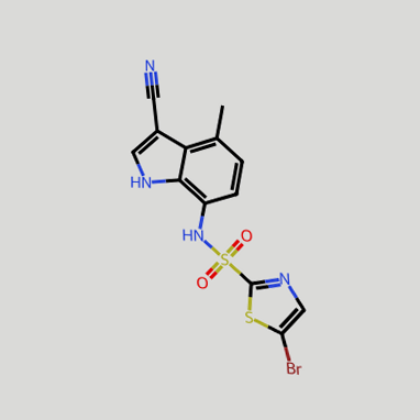 Cc1ccc(NS(=O)(=O)c2ncc(Br)s2)c2[nH]cc(C#N)c12